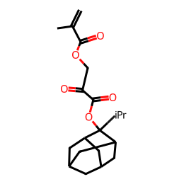 C=C(C)C(=O)OCC(=O)C(=O)OC1(C(C)C)C2CC3CC(C2)CC1C3